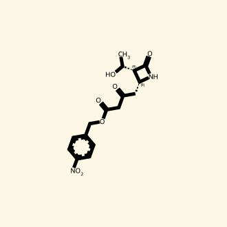 CC(O)[C@@H]1C(=O)N[C@@H]1CC(=O)CC(=O)OCc1ccc([N+](=O)[O-])cc1